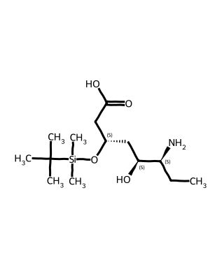 CC[C@H](N)[C@@H](O)C[C@@H](CC(=O)O)O[Si](C)(C)C(C)(C)C